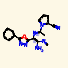 C=N/C(N)=C(\N=C(/C)n1cccc1C#N)c1nnc(-c2ccccc2)o1